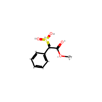 CC(C)OC(=O)C(c1ccccc1)=S(=O)=O